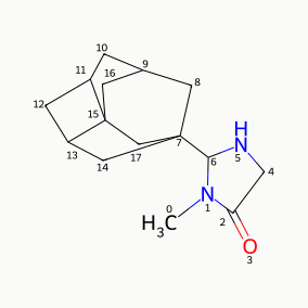 CN1C(=O)CNC1C12CC3CC4CC(C1)C4(C3)C2